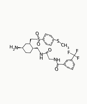 CSc1ccc(S(=O)(=O)C[C@@H]2C[C@H](N)CC[C@@H]2CNC(=O)CNC(=O)c2cccc(C(F)(F)F)c2)cc1